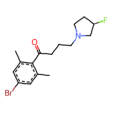 Cc1cc(Br)cc(C)c1C(=O)CCCN1CC[C@@H](F)C1